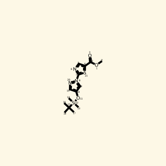 COC(=O)c1cnc(-n2cc(O[Si](C)(C)C(C)(C)C)cn2)s1